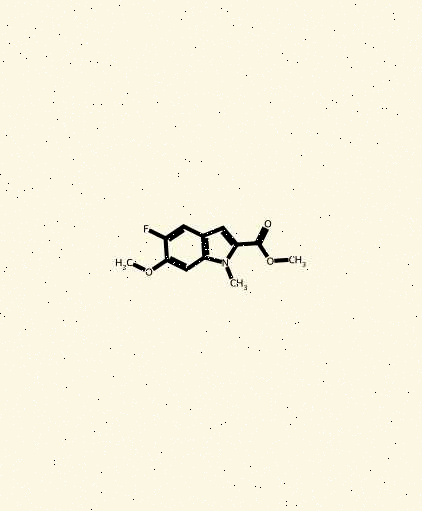 COC(=O)c1cc2cc(F)c(OC)cc2n1C